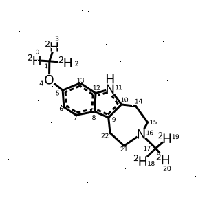 [2H]C([2H])([2H])Oc1ccc2c3c([nH]c2c1)CCN(C([2H])([2H])[2H])CC3